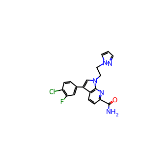 NC(=O)c1ccc2c(-c3ccc(Cl)c(F)c3)cn(CCn3cccn3)c2n1